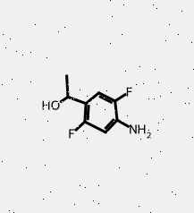 CC(O)c1cc(F)c(N)cc1F